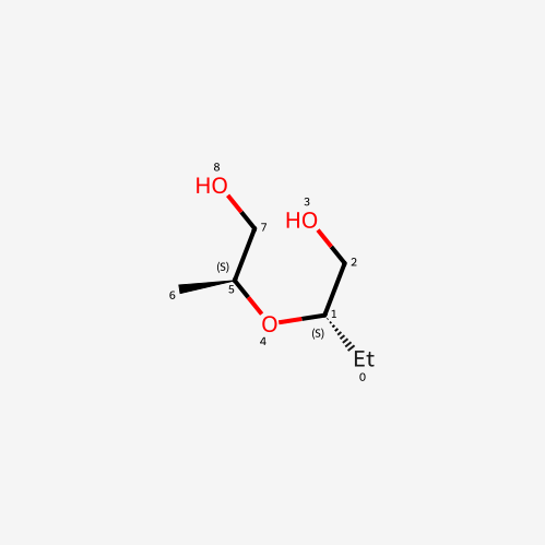 CC[C@@H](CO)O[C@@H](C)CO